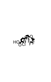 O=C(O)c1ccc(-n2ccc(O[C@H]3C[C@H]3C(F)(F)F)n2)nc1Cl